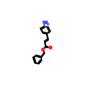 Nc1ccc(/C=C/C(=O)OCc2ccccc2)cc1